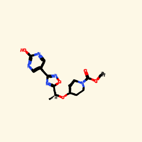 CC(C)OC(=O)N1CCC(O[C@H](C)c2nc(-c3cnc(O)nc3)no2)CC1